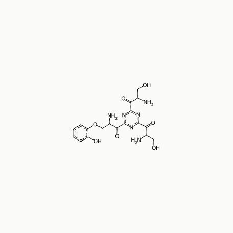 NC(CO)C(=O)c1nc(C(=O)C(N)CO)nc(C(=O)C(N)COc2ccccc2O)n1